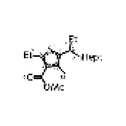 CCCCCCCC(CC)c1sc(CC)c(C(=O)OC)c1C